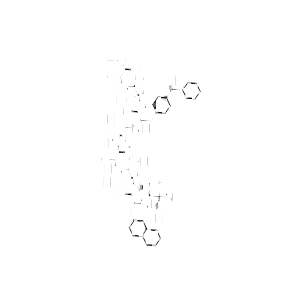 CC(NC(=O)C(C)(C)NC(=O)C(Cc1ccc([C@H](O)c2ccccc2)cc1)NC(O)C(C)(C)NC(=O)C(C)NC(O)C(C)(C)NC(=O)C(Cc1ccc2ccccc2c1)NC(=O)C(C)(C)N)C(=O)O